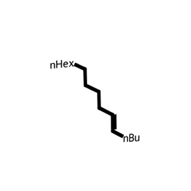 [CH2]CCC/C=C/CCCCCCCCCC